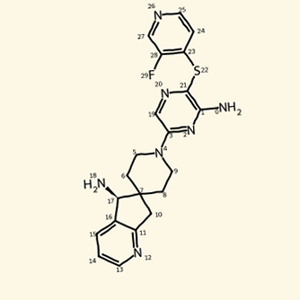 Nc1nc(N2CCC3(CC2)Cc2ncccc2[C@H]3N)cnc1Sc1ccncc1F